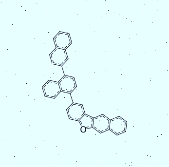 c1ccc2cc(-c3ccc(-c4ccc5oc6cc7ccccc7cc6c5c4)c4ccccc34)ccc2c1